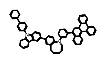 C1=CCCC(c2ccc(-n3c4c(c5cc(-c6ccc7c(c6)C/C=C\C=C/N7C6=CC(C7=c8ccccc8=C8c9ccccc9-c9ccccc9C8C7)=CCC6)ccc53)C=CCC4)cc2)=C1